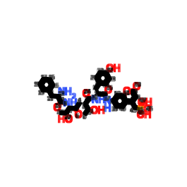 CC(O)[C@H](CC(=O)[C@@H](NC(=O)[C@@H](N)Cc1ccccc1)C(C)O)C(=O)N[C@@H](Cc1ccc(O)cc1)C(=O)Nc1ccc2c(CP(=O)(O)O)cc(=O)oc2c1